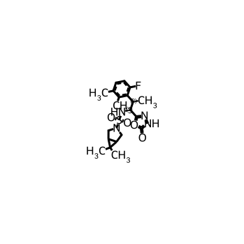 Cc1ccc(F)c([C@@H](C)[C@H](NS(=O)(=O)N2CC3C(C2)C3(C)C)c2n[nH]c(=O)o2)c1C